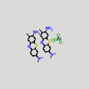 Cc1cc2nc3ccc(=[N+](C)C)cc-3sc2cc1N.Cc1cc2nc3ccc(=[N+](C)C)cc-3sc2cc1N.[Cl-].[Cl-].[Cl][Zn][Cl]